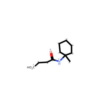 CC1(NC(=O)CCC(=O)O)CCCCC1